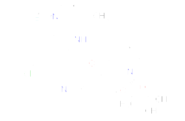 Cc1ccnc2c(-c3cc(Cl)ccc3F)c(-c3ccncc3OC[C@@H]3CCCN3C(=O)OC(C)(C)C)[nH]c12